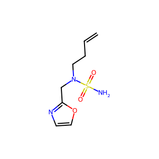 C=CCCN(Cc1ncco1)S(N)(=O)=O